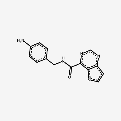 Nc1ccc(CNC(=O)c2ncnc3ccsc23)cc1